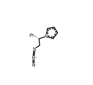 CC(C)[C@@H](CN=[N+]=[N-])n1cccc1